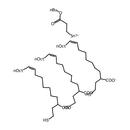 CCCCCCCC/C=C\CCCCCCC(CCS)C(=O)[O-].CCCCCCCC/C=C\CCCCCCC(CCS)C(=O)[O-].CCCCCCCC/C=C\CCCCCCC(CCS)C(=O)[O-].CCCCOC(=O)C[CH2][Sn+3]